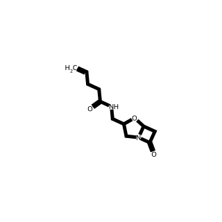 C=CCCC(=O)NCC1CN2C(=O)CC2O1